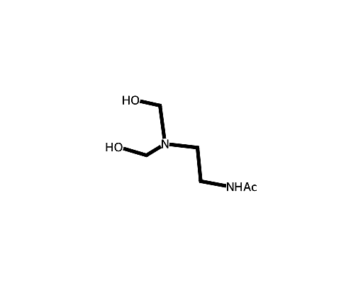 CC(=O)NCCN(CO)CO